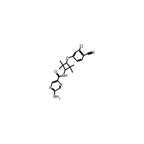 CC1(C)C(NC(=O)c2cnc(N)cn2)C(C)(C)C1Oc1ccc(C#N)c(Cl)c1